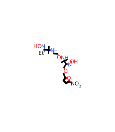 CCC(=NO)C(C)(C)NCCONC(C)(C)C(COCc1ccc([N+](=O)[O-])o1)=NO